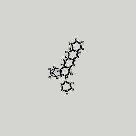 c1ccc(-c2nc3cc4cc5ccccc5cc4cc3c3c2C2CCC3C2)cc1